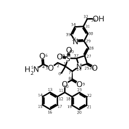 CC1(COC(N)=O)[C@H](C(=O)OC(c2ccccc2)c2ccccc2)N2C(=O)/C(=C/c3cc(CO)ccn3)C2S1(=O)=O